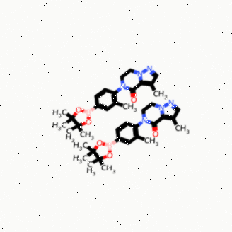 Cc1cc(B2OC(C)(C)C(C)(C)O2)ccc1N1CCn2ncc(C)c2C1=O.Cc1cc(B2OC(C)(C)C(C)(C)O2)ccc1N1CCn2ncc(C)c2C1=O